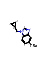 CC(C)(C)c1ccc2c(c1)ncn2CC1CC1